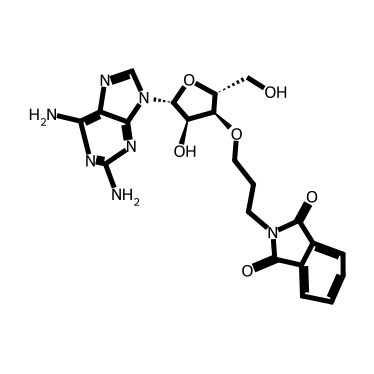 Nc1nc(N)c2ncn([C@@H]3O[C@H](CO)[C@@H](OCCCN4C(=O)c5ccccc5C4=O)[C@H]3O)c2n1